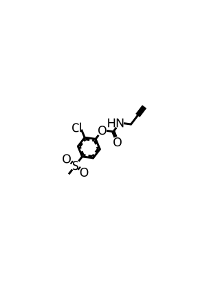 C#CCNC(=O)Oc1ccc(S(C)(=O)=O)cc1Cl